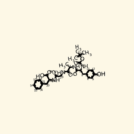 C[C@@H](NC(=O)C(Cc1ccc(O)cc1)NC(=O)OC(C)(C)C)C(=O)NCC(=O)NC(Cc1ccccc1)C(=O)O